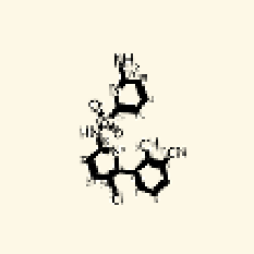 Cc1c(C#N)cccc1-c1nc(NS(=O)(=O)c2cccc(N)n2)ccc1Cl